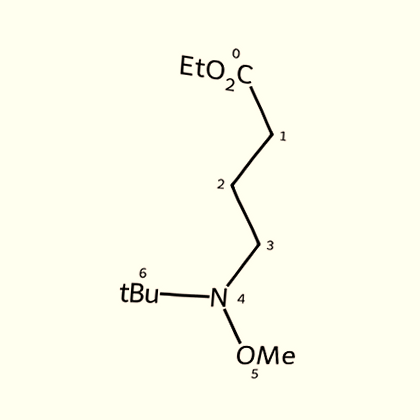 CCOC(=O)CCCN(OC)C(C)(C)C